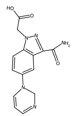 NC(=O)c1nn(CC(=O)O)c2ccc(N3C=CC=NC3)cc12